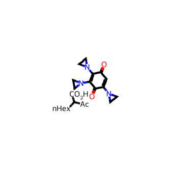 CCCCCCC(C(C)=O)C(=O)O.O=C1C=C(N2CC2)C(=O)C(N2CC2)=C1N1CC1